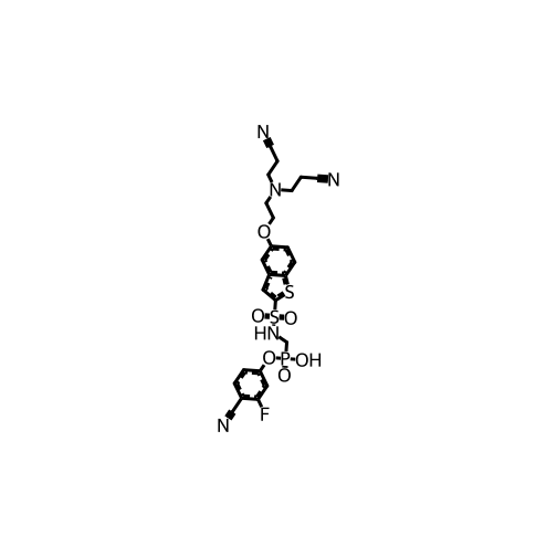 N#CCCN(CCC#N)CCOc1ccc2sc(S(=O)(=O)NCP(=O)(O)Oc3ccc(C#N)c(F)c3)cc2c1